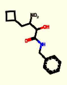 O=C(NCc1ccccc1)C(O)C(CC1CCC1)[N+](=O)[O-]